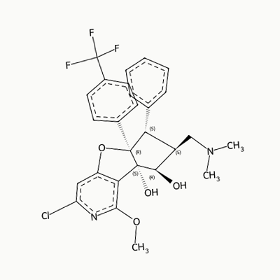 COc1nc(Cl)cc2c1[C@]1(O)[C@H](O)[C@H](CN(C)C)[C@@H](c3ccccc3)[C@]1(c1ccc(C(F)(F)F)cc1)O2